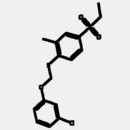 CCS(=O)(=O)c1ccc(SCOc2cccc(Cl)c2)c(C)c1